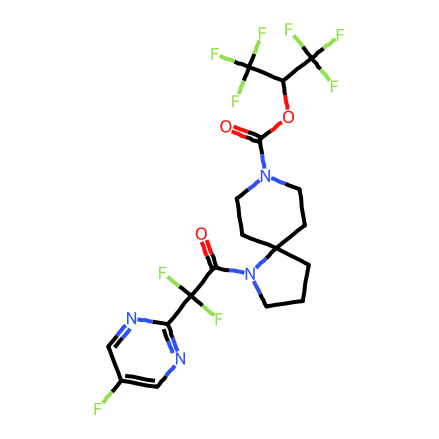 O=C(OC(C(F)(F)F)C(F)(F)F)N1CCC2(CCCN2C(=O)C(F)(F)c2ncc(F)cn2)CC1